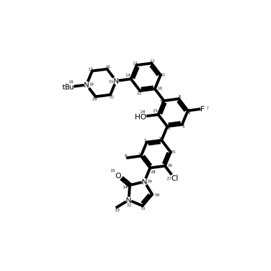 Cc1cc(-c2cc(F)cc(-c3cccc(N4CCN(C(C)(C)C)CC4)c3)c2O)cc(Cl)c1-n1ccn(C)c1=O